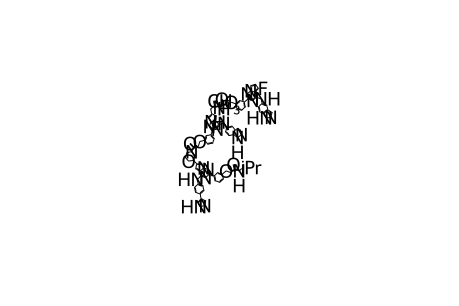 CC(C)NC(=O)COc1cccc(-c2nc(Nc3ccc(-c4cn[nH]c4)cc3)c3cc(C4CN(C(=O)COc5cccc(-c6nc(Nc7ccc8[nH]ncc8c7)c7cc(CC(C)NC(=O)COc8cccc(-c9nc(Nc%10ccc%11[nH]ncc%11c%10)c%10c(F)ccn%10n9)c8)cn7n6)c5)CCO4)cn3n2)c1